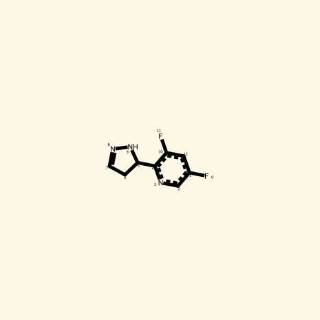 Fc1cnc(C2CC=NN2)c(F)c1